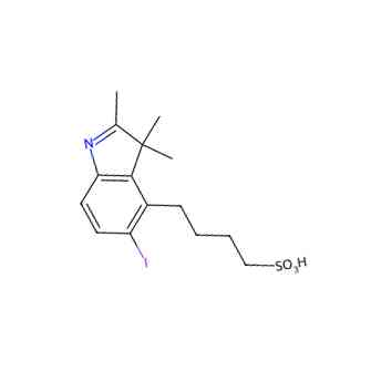 CC1=Nc2ccc(I)c(CCCCS(=O)(=O)O)c2C1(C)C